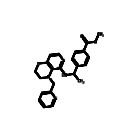 COC(=O)c1ccc(C(C)Nc2nccc3c2N(Cc2ccccn2)CCO3)cc1